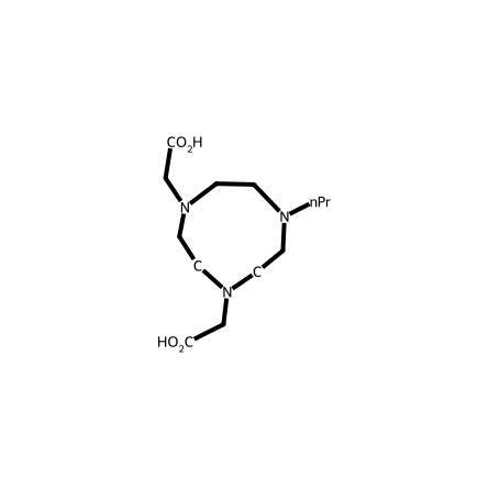 CCCN1CCN(CC(=O)O)CCN(CC(=O)O)CC1